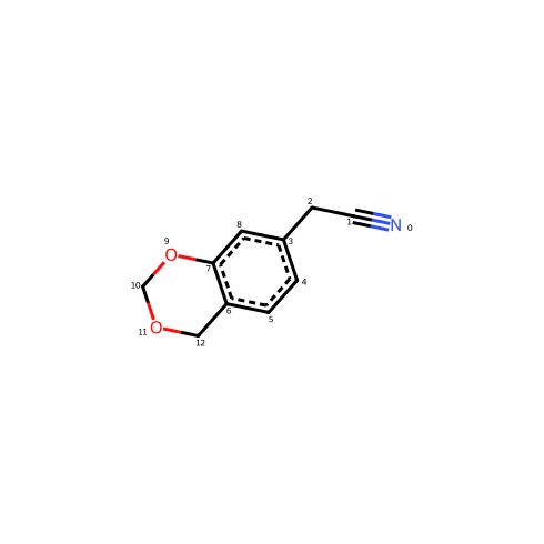 N#CCc1ccc2c(c1)OCOC2